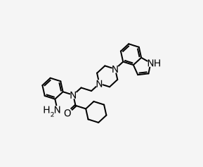 Nc1ccccc1N(CCN1CCN(c2cccc3[nH]ccc23)CC1)C(=O)C1CCCCC1